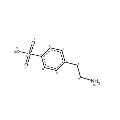 CCS(=O)(=O)c1ccc(CCN)cc1